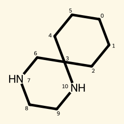 C1CCC2(CC1)CNCCN2